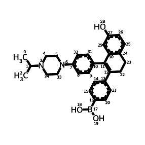 CC(C)N1CCN(c2ccc(C3=C(c4ccc(B(O)O)cc4)CCc4ccc(O)cc43)cc2)CC1